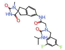 CC(C)NC(=O)N(CC(=O)Nc1ccc2c(c1)C[C@@]1(C2)C(=O)NC(=O)N1C)Cc1cc(F)cc(F)c1